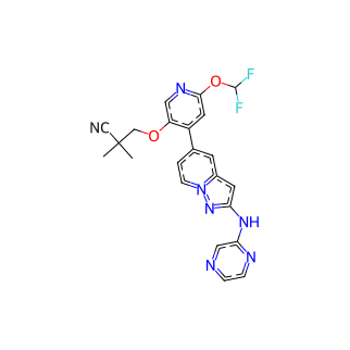 CC(C)(C#N)COc1cnc(OC(F)F)cc1-c1ccn2nc(Nc3cnccn3)cc2c1